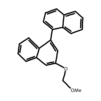 COCOc1cc(-c2cccc3ccccc23)c2ccccc2c1